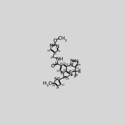 COc1ncc(CNC(=O)c2cc(-n3nncc3C(F)(F)F)c3ncc(-c4ccc(C)s4)n3c2)cn1